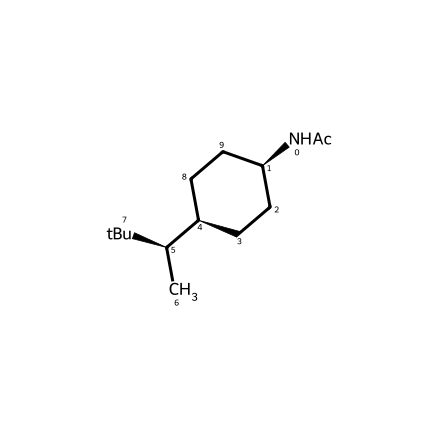 CC(=O)N[C@H]1CC[C@@H]([C@@H](C)C(C)(C)C)CC1